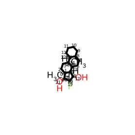 C[C@]12CC[C@H]3[C@@H](CC=C4CCCC[C@@]43C)[C@@H]1[C@H](O)[C@@H](F)[C@@H]2O